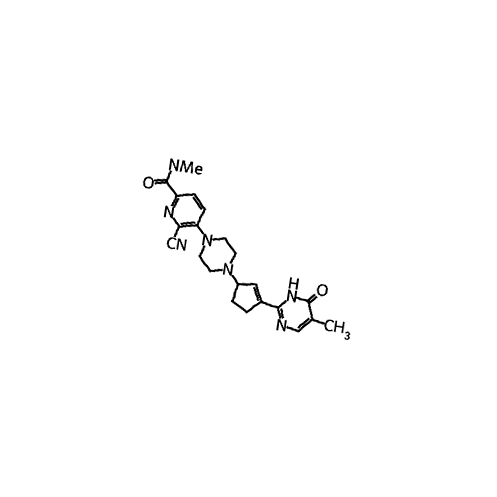 CNC(=O)c1ccc(N2CCN(C3C=C(c4ncc(C)c(=O)[nH]4)CC3)CC2)c(C#N)n1